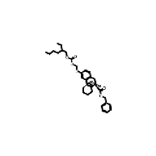 CCCCC(CC)COC(=O)OCOc1ccc2c(c1)[C@@]13CCCC[C@H]1[C@@H](C2)N(C(=O)OCc1ccccc1)CC3